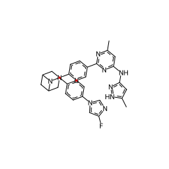 Cc1cc(Nc2cc(C)[nH]n2)nc(-c2ccc(N3CC4CC(C3)N4Cc3ccc(-n4cnc(F)c4)cc3)nc2)n1